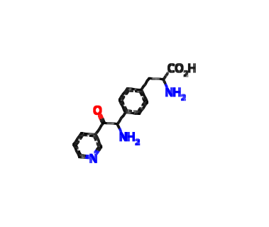 NC(Cc1ccc(C(N)C(=O)c2cccnc2)cc1)C(=O)O